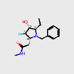 CC[C@@H]1[C@@H](O)[C@H](F)[C@@H](CC(=O)NC)N1Cc1ccccc1